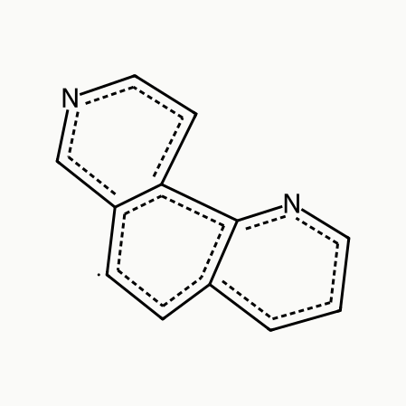 [c]1cc2cccnc2c2ccncc12